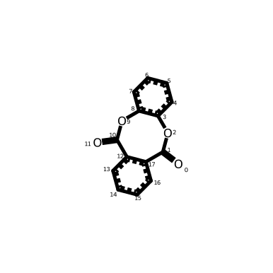 O=C1Oc2ccccc2OC(=O)c2ccccc21